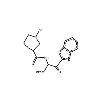 CCCCCC(NC(=O)C1CN(C(C)=O)CCO1)C(=O)c1nc2ccccc2s1